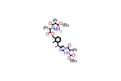 Cc1c(COC(=O)C(C(C)C)N(N)C(=O)C(C(=O)OC(C)(C)C)C(C)C)cccc1[C@H](C)c1cn(C(=O)C(NC(=O)OC(C)(C)C)C(C)C)cn1